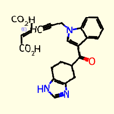 C#CCn1cc(C(=O)C2CCc3[nH]cnc3C2)c2ccccc21.O=C(O)/C=C/C(=O)O